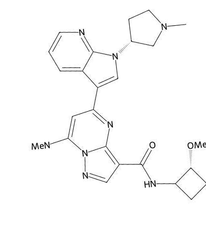 CNc1cc(-c2cn([C@@H]3CCN(C)C3)c3ncccc23)nc2c(C(=O)NC3CC[C@H]3OC)cnn12